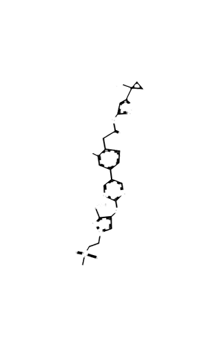 COc1nn(CCS(C)(=O)=O)cc1Nc1ncc(-c2ccc(CC(=O)Nc3cc(C4(C(F)(F)F)CC4)on3)c(F)c2)cn1